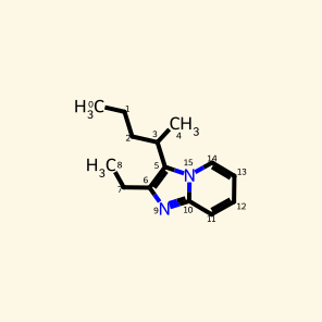 CCCC(C)c1c(CC)nc2ccccn12